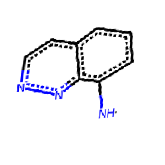 [NH]c1cccc2ccnnc12